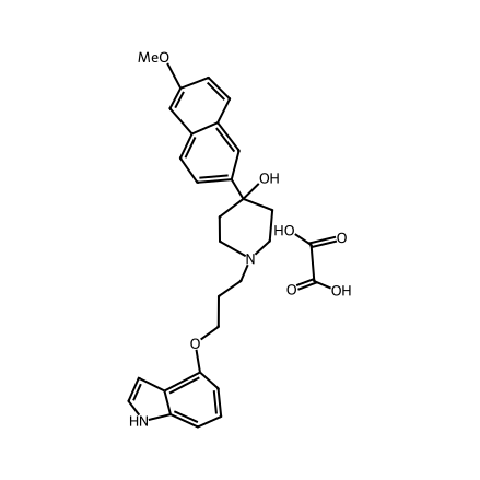 COc1ccc2cc(C3(O)CCN(CCCOc4cccc5[nH]ccc45)CC3)ccc2c1.O=C(O)C(=O)O